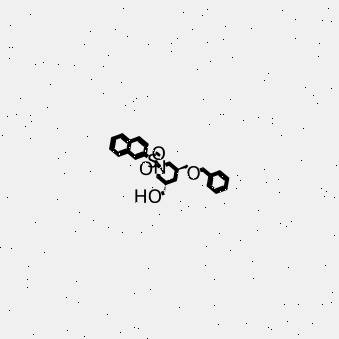 O=S(=O)(c1ccc2ccccc2c1)N1C[C@@H](CO)C[C@H](COCc2ccccc2)C1